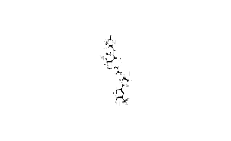 Cc1nc(Cn2c(=O)c3c(ncn3[C@@H](C)C(=O)Nc3csc(-c4cnc(C)c(C(F)(F)F)c4)n3)n(C)c2=O)no1